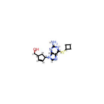 Nc1nc(SC2CCC2)c2ncn(C3C=CC(CO)C3)c2n1